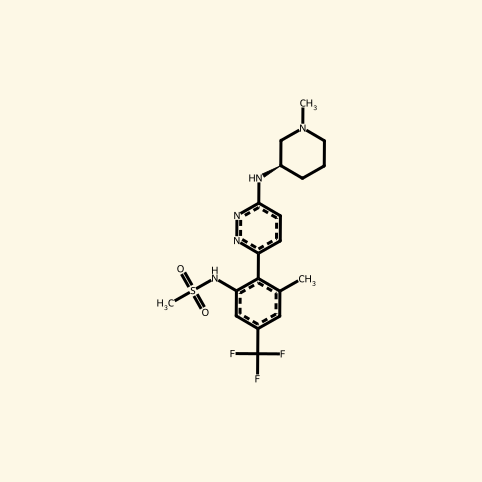 Cc1cc(C(F)(F)F)cc(NS(C)(=O)=O)c1-c1ccc(N[C@@H]2CCCN(C)C2)nn1